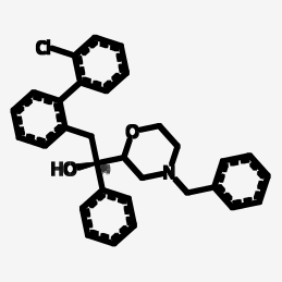 O[C@](Cc1ccccc1-c1ccccc1Cl)(c1ccccc1)C1CN(Cc2ccccc2)CCO1